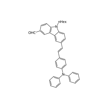 CCCCCCn1c2ccc(C=O)cc2c2cc(C=Cc3ccc(N(c4ccccc4)c4ccccc4)cc3)ccc21